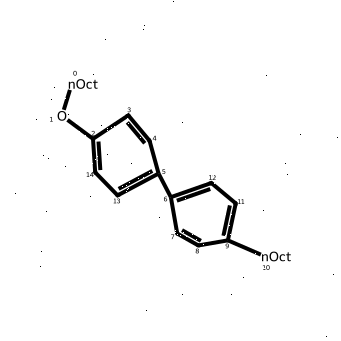 CCCCCCCCOc1ccc(-c2ccc(CCCCCCCC)cc2)cc1